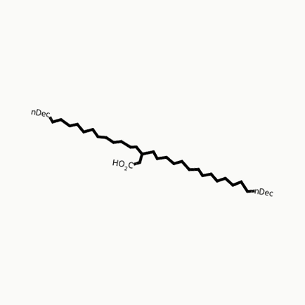 CCCCCCCCCCCCCCCCCCCCCCCCC(CCCCCCCCCCCCCCCCCCCCCC)CC(=O)O